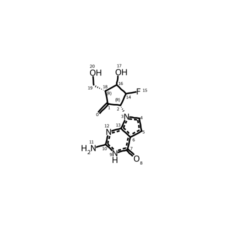 C=C1[C@@H](n2ccc3c(=O)[nH]c(N)nc32)C(F)C(O)[C@H]1CO